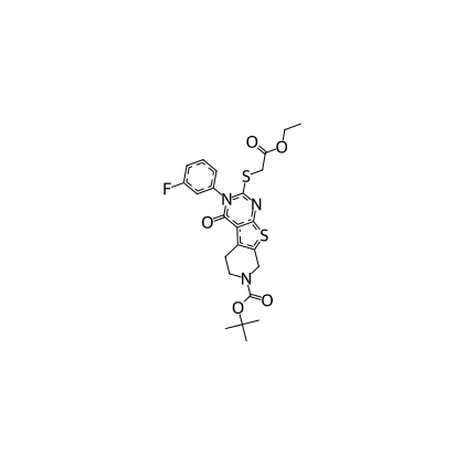 CCOC(=O)CSc1nc2sc3c(c2c(=O)n1-c1cccc(F)c1)CCN(C(=O)OC(C)(C)C)C3